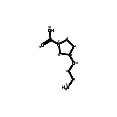 NCCOC1CCN(C(=O)O)C1